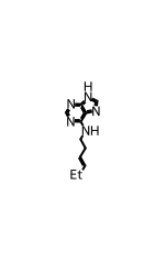 CC/C=C/CCNc1ncnc2[nH]cnc12